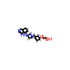 OCCOc1cccc(CN2CCC(NC3=CCCc4cnccc43)C2)c1